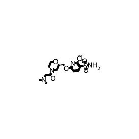 CN(C)CC(=O)N1CCO[C@@H](COc2ccc(S(N)(=O)=O)c(Cl)n2)C1